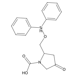 O=C1CC(CO[SiH](c2ccccc2)c2ccccc2)N(C(=O)O)C1